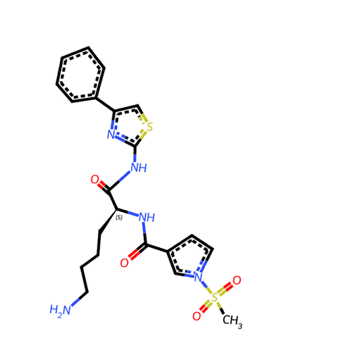 CS(=O)(=O)n1ccc(C(=O)N[C@@H](CCCCN)C(=O)Nc2nc(-c3ccccc3)cs2)c1